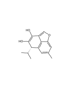 Cc1cc2c3c(coc3c1)C(O)=C(O)[C@H]2C(C)C